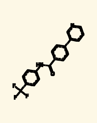 O=C(Nc1ccc(C(F)(F)F)cc1)c1ccc(-c2cccnc2)cc1